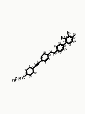 CCCCCC1CCC(C#CC2C=CC(CCc3ccc(-c4ccc(C)c(F)c4F)cc3)CC2)CC1